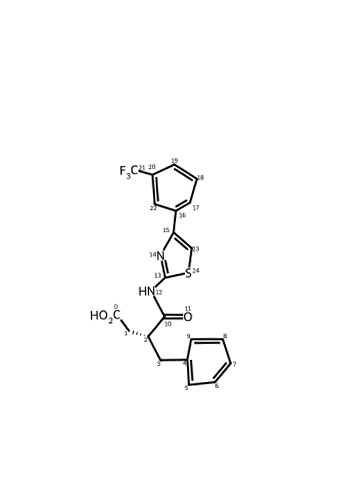 O=C(O)C[C@@H](Cc1ccccc1)C(=O)Nc1nc(-c2cccc(C(F)(F)F)c2)cs1